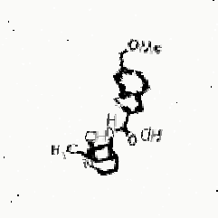 COCc1ccc2cc(C(=O)NC3C4CCN(CC4)C3(C)C)sc2c1.Cl